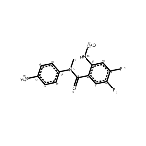 CN(C(=O)c1cc(F)c(F)cc1NC=O)c1ccc(N)cc1